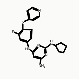 Nc1cc(Nc2ccc(Sc3ccncc3)c(F)c2)nc(NC2CCCC2)n1